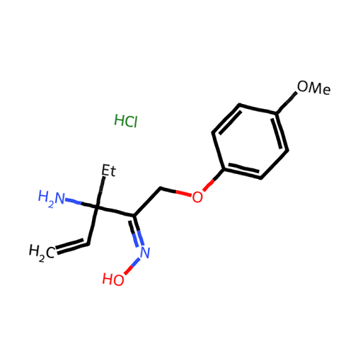 C=CC(N)(CC)C(COc1ccc(OC)cc1)=NO.Cl